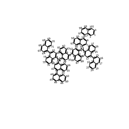 c1ccc2c(-c3ccc(N(c4ccc(-c5cccc6ccccc56)c5ccccc45)c4ccc(-c5ccc(N(c6ccc(-c7cccc8ccccc78)c7ccccc67)c6ccc(-c7cccc8ccccc78)c7ccccc67)c6ccccc56)c5ccccc45)c4ccccc34)cccc2c1